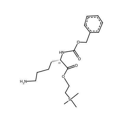 C[Si](C)(C)CCOC(=O)[C@H](CCCCN)NC(=O)OCc1ccccc1